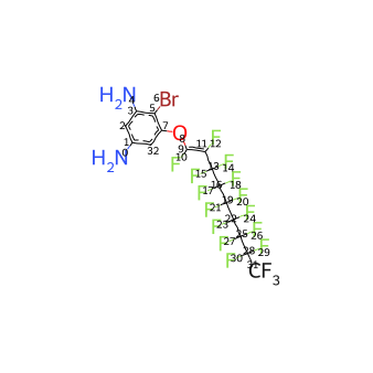 Nc1cc(N)c(Br)c(OC(F)=C(F)C(F)(F)C(F)(F)C(F)(F)C(F)(F)C(F)(F)C(F)(F)C(F)(F)F)c1